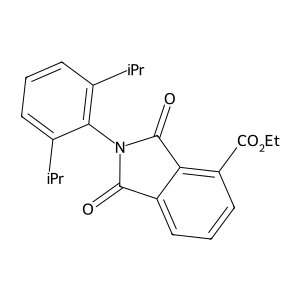 CCOC(=O)c1cccc2c1C(=O)N(c1c(C(C)C)cccc1C(C)C)C2=O